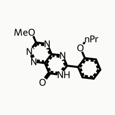 CCCOc1ccccc1-c1nc2nc(OC)nnc2c(=O)[nH]1